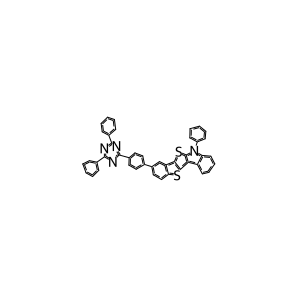 c1ccc(-c2nc(-c3ccccc3)nc(-c3ccc(-c4ccc5sc6c(sc7c6c6ccccc6n7-c6ccccc6)c5c4)cc3)n2)cc1